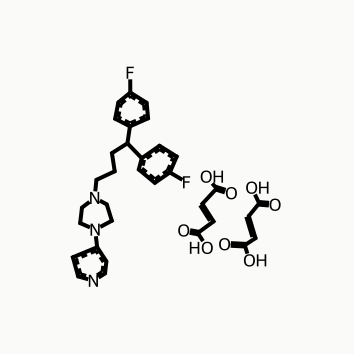 Fc1ccc(C(CCCN2CCN(c3ccncc3)CC2)c2ccc(F)cc2)cc1.O=C(O)C=CC(=O)O.O=C(O)C=CC(=O)O